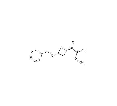 CON(C)C(=O)[C@H]1C[C@H](OCc2ccccc2)C1